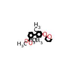 COC(=O)c1cccc(-c2c(C)cc(OC3CCCCO3)cc2C)c1C